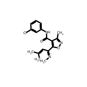 C/N=C(\C=C(C)C)c1onc(C)c1C(=O)Nc1cccc(Cl)c1